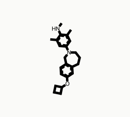 CNc1c(C)cc(N2CCCc3cc(OC4CCC4)ccc3C2)cc1C